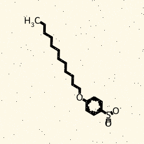 CCCCCCCCCCCCOc1ccc([SH](=O)=O)cc1